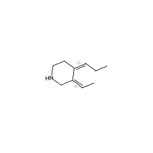 C/C=C1/CNCC/C1=C/CC